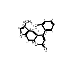 Cc1ccccc1C1=CC(=O)OC2Cc3occ(C)c3C=C12